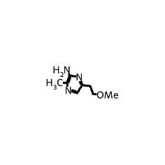 COCCc1cnc(C)c(N)n1